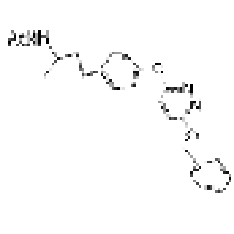 CC(=O)NC(C)CCc1ccc(Oc2ccc(OCc3ccccc3)nn2)cc1